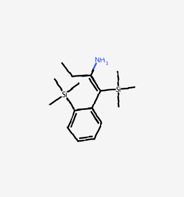 CCC(N)=C(c1ccccc1[Si](C)(C)C)[Si](C)(C)C